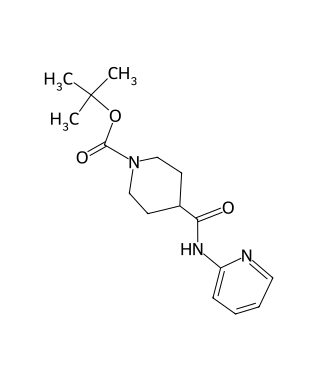 CC(C)(C)OC(=O)N1CCC(C(=O)Nc2ccccn2)CC1